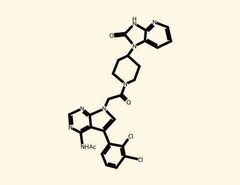 CC(=O)Nc1ncnc2c1c(-c1cccc(Cl)c1Cl)cn2CC(=O)N1CCC(n2c(=O)[nH]c3ncccc32)CC1